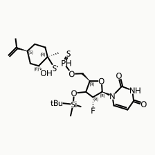 C=C(C)[C@H]1CC[C@@](C)(S[PH](=S)OC[C@H]2O[C@@H](n3ccc(=O)[nH]c3=O)[C@H](F)C2O[Si](C)(C)C(C)(C)C)[C@H](O)C1